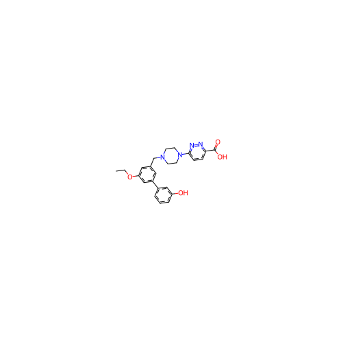 CCOc1cc(CN2CCN(c3ccc(C(=O)O)nn3)CC2)cc(-c2cccc(O)c2)c1